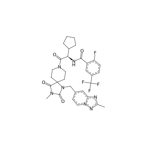 Cc1nc2cc(CN3C(=O)N(C)C(=O)C34CCN(C(=O)[C@H](NC(=O)c3cc(C(F)(F)F)ccc3F)C3CCCC3)CC4)ccn2n1